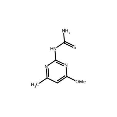 COc1cc(C)nc(NC(N)=S)n1